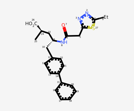 CCc1nnc(CC(=O)N[C@H](Cc2ccc(-c3ccccc3)cc2)C[C@@H](C)C(=O)O)s1